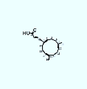 C=CC(=O)O.CC1=CCCC(C)=CCCC(C)=CCC1